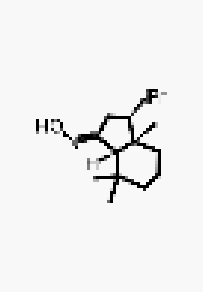 CC(C)[C@@H]1CC(=NO)[C@H]2C(C)(C)CCC[C@@]12C